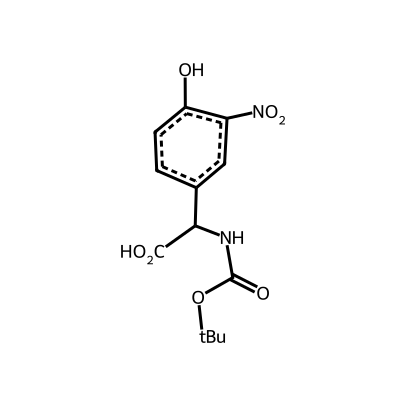 CC(C)(C)OC(=O)NC(C(=O)O)c1ccc(O)c([N+](=O)[O-])c1